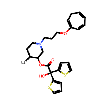 CCC1CCN(CCCOC2=CCC=CC=C2)CC1OC(=O)C(O)(c1cccs1)c1cccs1